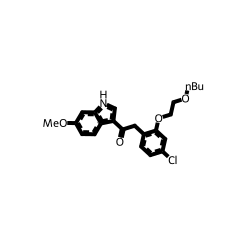 CCCCOCCOc1cc(Cl)ccc1CC(=O)c1c[nH]c2cc(OC)ccc12